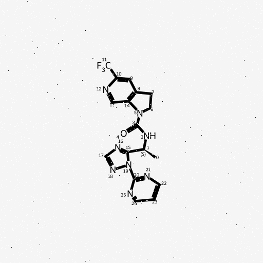 C[C@H](NC(=O)N1CCc2cc(C(F)(F)F)ncc21)c1ncnn1-c1ncccn1